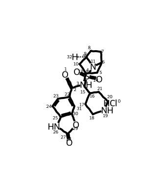 Cl.O=C(NC1CC2CC[C@H](C1)N2S(=O)(=O)CC1CCNCC1)c1ccc2[nH]c(=O)oc2c1